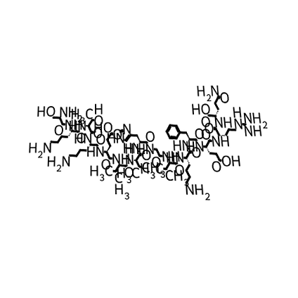 CC(C)[C@H](NC(=O)CNC(=O)[C@H](Cc1c[nH]cn1)NC(=O)[C@@H](NC(=O)[C@@H](NC(=O)[C@H](CCC(=O)O)NC(=O)[C@H](CCCCN)NC(=O)[C@@H](NC(=O)[C@H](CCCCN)NC(=O)[C@@H](N)CO)[C@@H](C)O)C(C)C)C(C)C)C(=O)N[C@@H](CCCCN)C(=O)N[C@@H](Cc1ccccc1)C(=O)N[C@@H](CCC(=O)O)C(=O)N[C@@H](CCCNC(=N)N)C(=O)N[C@@H](CCC(N)=O)C(=O)O